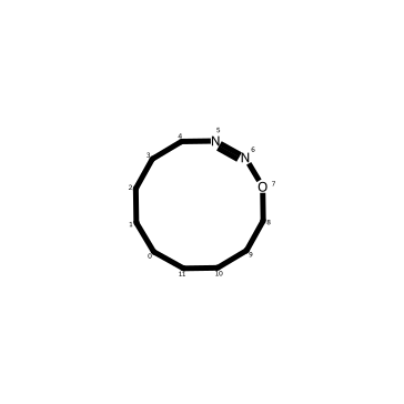 C1CCCCN=NOCCCC1